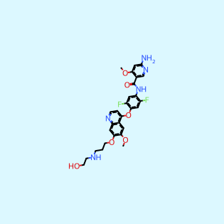 COc1cc2c(Oc3cc(F)c(NC(=O)c4cnc(N)cc4OC)cc3F)ccnc2cc1OCCCNCCO